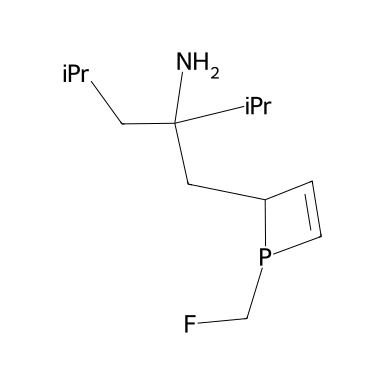 CC(C)CC(N)(CC1C=CP1CF)C(C)C